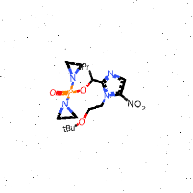 CC(C)C(OP(=O)(N1CC1)N1CC1)c1ncc([N+](=O)[O-])n1CCOC(C)(C)C